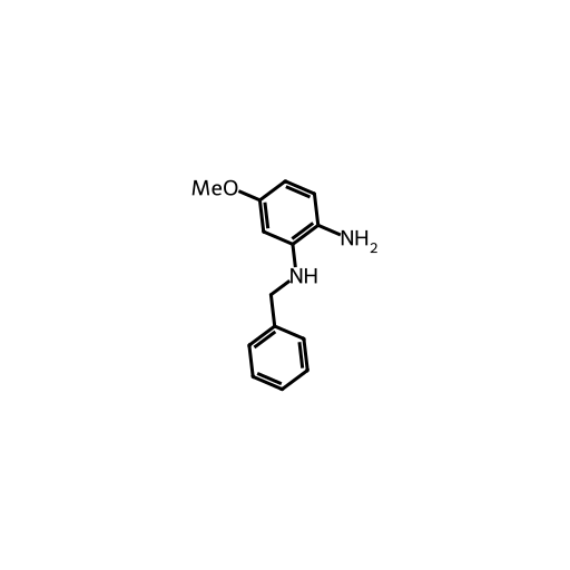 COc1ccc(N)c(NCc2ccccc2)c1